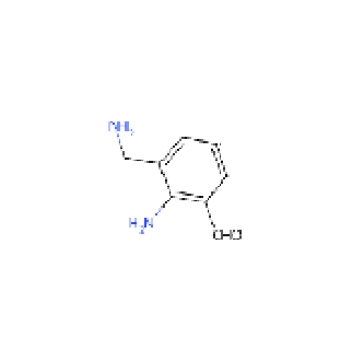 NCc1c[c]cc(C=O)c1N